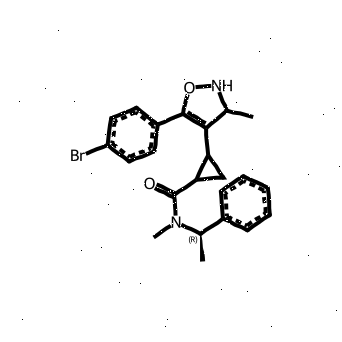 CC1NOC(c2ccc(Br)cc2)=C1C1CC1C(=O)N(C)[C@H](C)c1ccccc1